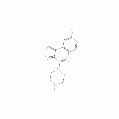 Clc1ccc2nc(N3CCNCC3)c3nocc3c2c1